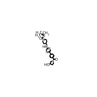 CC(C)(C)OC(=O)N1CCC(CNc2cnc(-c3ccc(C(=O)N4CCC(O)C4)cc3)cn2)CC1